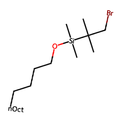 CCCCCCCCCCCCO[Si](C)(C)C(C)(C)CBr